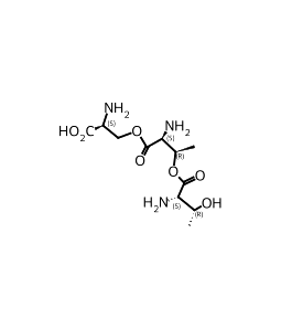 C[C@@H](O)[C@H](N)C(=O)O[C@H](C)[C@H](N)C(=O)OC[C@H](N)C(=O)O